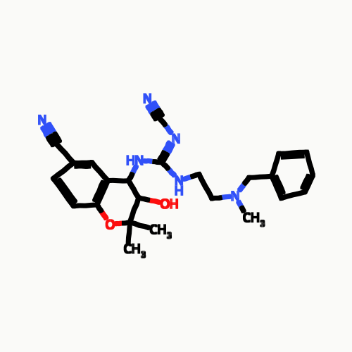 CN(CCN/C(=N/C#N)NC1c2cc(C#N)ccc2OC(C)(C)C1O)Cc1ccccc1